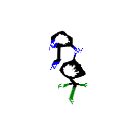 N#Cc1ncccc1Nc1ccc(C(F)(F)F)cc1